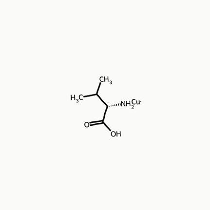 CC(C)[C@H](N)C(=O)O.[Cu]